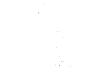 Nc1ccccc1NC(=O)c1ccc(OCCN(C=O)c2cc3ccc(C(F)(F)F)cc3o2)cc1